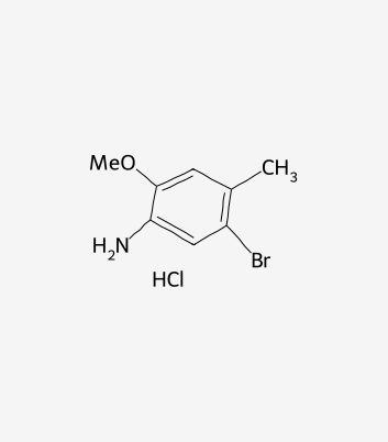 COc1cc(C)c(Br)cc1N.Cl